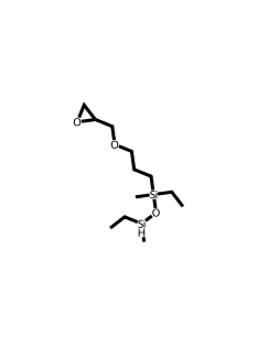 CC[SiH](C)O[Si](C)(CC)CCCOCC1CO1